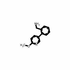 COc1ccc(-c2ccccc2CN)cn1